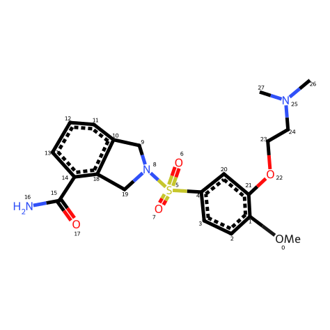 COc1ccc(S(=O)(=O)N2Cc3cccc(C(N)=O)c3C2)cc1OCCN(C)C